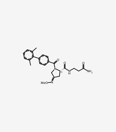 CON=C1C[C@@H](C(=O)NCCC(N)=O)N(C(=O)c2ccc(-c3c(C)cccc3C)cc2)C1